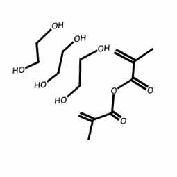 C=C(C)C(=O)OC(=O)C(=C)C.OCCO.OCCO.OCCO